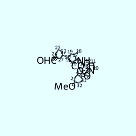 COc1ccc(S(=O)(=O)c2ncccc2CNc2c(C)cc(-c3cccc(C=O)c3)cc2C(=O)O)cc1